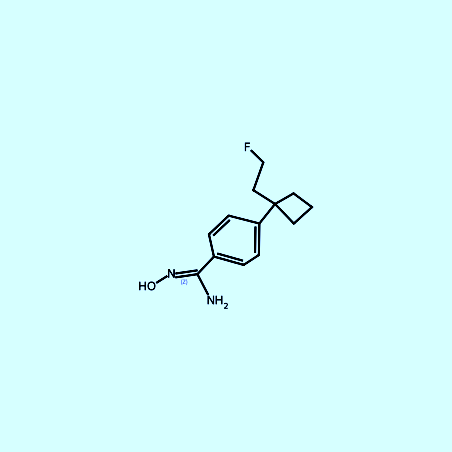 N/C(=N\O)c1ccc(C2(CCF)CCC2)cc1